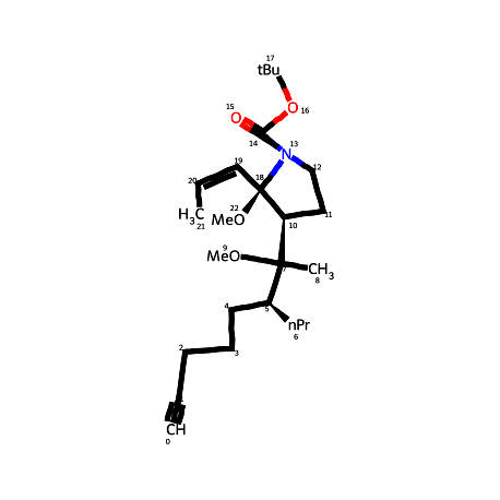 C#CCCC[C@H](CCC)C(C)(OC)[C@@H]1CCN(C(=O)OC(C)(C)C)[C@]1(/C=C\C)OC